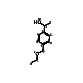 CCOCc1ccc(C(C)O)cc1